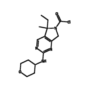 CCC1(C)c2cnc(NC3CCOCC3)nc2CN1C(=O)Cl